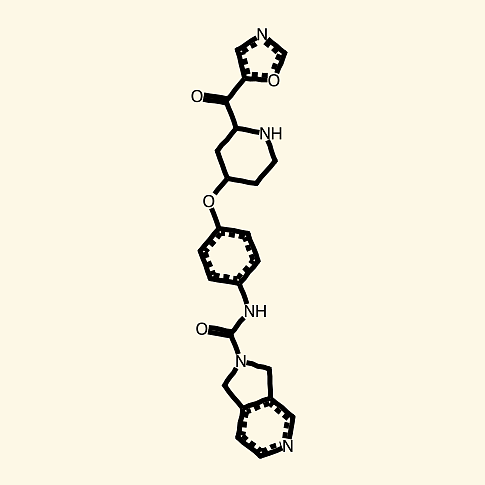 O=C(c1cnco1)C1CC(Oc2ccc(NC(=O)N3Cc4ccncc4C3)cc2)CCN1